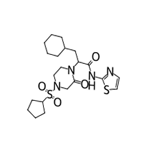 O=C(Nc1nccs1)C(CC1CCCCC1)N1CCN(S(=O)(=O)C2CCCC2)CC1=O